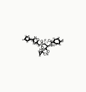 N#CC1(NC(=O)C(CS(=O)(=O)Cc2nc(-c3cccs3)no2)N[C@H](c2ccc(F)cc2)C(F)(F)F)CC1